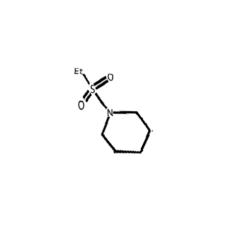 CCS(=O)(=O)N1C[CH]CCC1